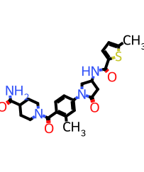 Cc1ccc(C(=O)NC2CC(=O)N(c3ccc(C(=O)N4CCC(C(N)=O)CC4)c(C)c3)C2)s1